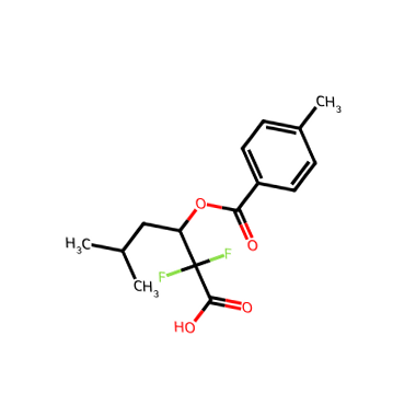 Cc1ccc(C(=O)OC(CC(C)C)C(F)(F)C(=O)O)cc1